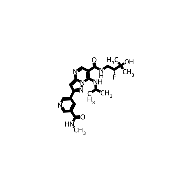 CNC(=O)c1cncc(-c2cc3ncc(C(=O)NC[C@@H](F)C(C)(C)O)c(NC(C)C)n3n2)c1